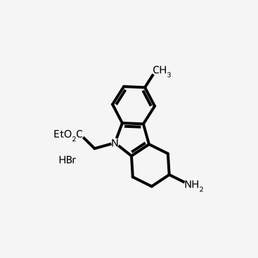 Br.CCOC(=O)Cn1c2c(c3cc(C)ccc31)CC(N)CC2